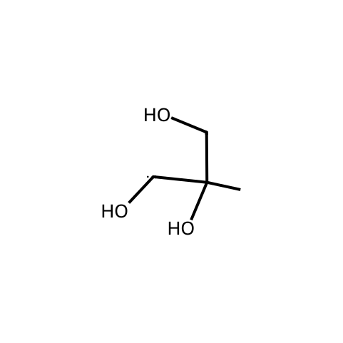 CC(O)([CH]O)CO